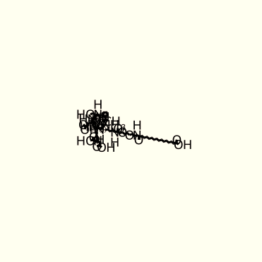 CC(=O)N1CCC[C@H]1C(=O)N[C@@H](CO)C(=O)N[C@@H](CCC(=O)O)C(=O)N[C@@H](CCCCN(CC(=O)O)CC(=O)O)C(=O)N[C@@H](CCCCNC(=O)COCCOCCNC(=O)CCCCCCCCCCCCCCC(=O)O)C(N)=O